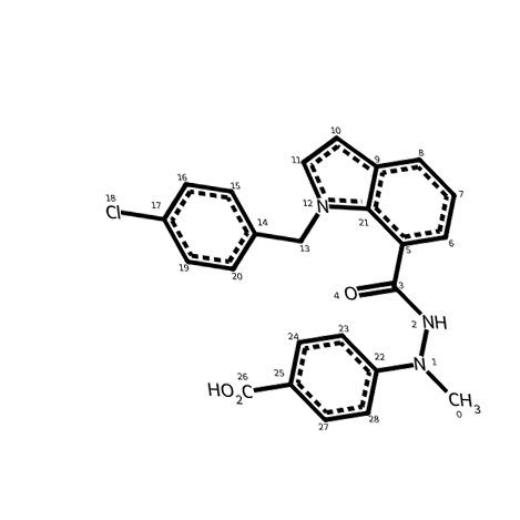 CN(NC(=O)c1cccc2ccn(Cc3ccc(Cl)cc3)c12)c1ccc(C(=O)O)cc1